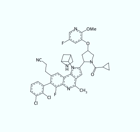 COc1ncc(F)cc1OC1CC(c2cc3c(C)nc4c(F)c(-c5cccc(Cl)c5Cl)c(CCC#N)cc4c3n2C2C3CNC2C3)N(C(=O)C2CC2)C1